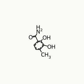 Cc1ccc(C(N)=O)c(O)c1O